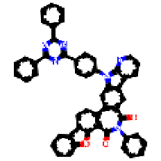 O=c1c2cc3c4cccnc4n(-c4ccc(-c5nc(-c6ccccc6)nc(-c6ccccc6)n5)cc4)c3cc2c2ccc3c4ccccc4oc3c2c(=O)n1-c1ccccc1